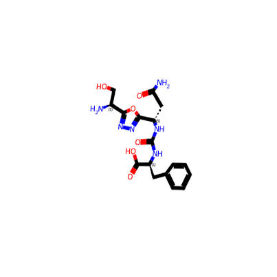 NC(=O)C[C@H](NC(=O)N[C@@H](Cc1ccccc1)C(=O)O)c1nnc([C@@H](N)CO)o1